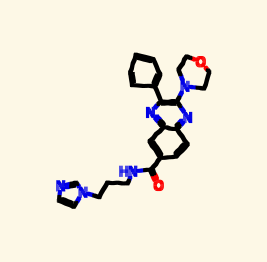 O=C(NCCCn1ccnc1)c1ccc2nc(N3CCOCC3)c(-c3ccccc3)nc2c1